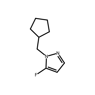 Fc1ccnn1CC1CCCC1